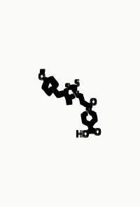 C=c1/c(=C/c2ccc(OC)cc2)sc(=S)n1CCC(=O)N1CCC(C(=O)O)CC1